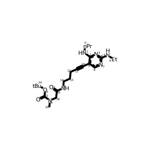 CCCNc1nc(NCC)ncc1C#CCCCNC(=O)CN(C)C(=O)OC(C)(C)C